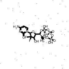 C#C[C@H](OP(=O)(O)OP(=O)(O)OP(=O)(O)O)C1OC(n2ccc(N)nc2=O)C(F)(F)C1O